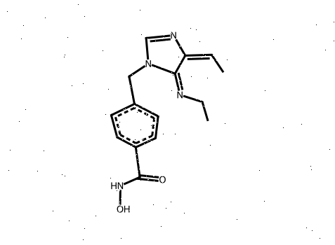 C/C=C1/N=CN(Cc2ccc(C(=O)NO)cc2)/C1=N/CC